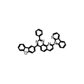 c1ccc(-c2nc(-c3ccc4oc5ccccc5c4c3)c3ccc4ccc(-n5c6ccccc6c6cccnc65)nc4c3n2)cc1